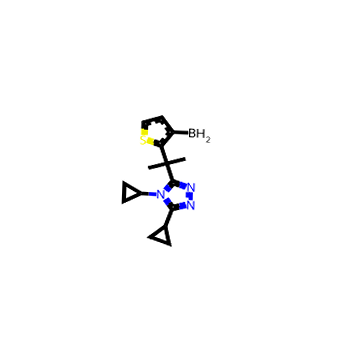 Bc1ccsc1C(C)(C)c1nnc(C2CC2)n1C1CC1